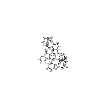 O=C1c2ccccc2-c2c1c1c3c4c(ncc3n3c5cnc6c(c5c(c2-c2ccccc2)c13)C1CC2CC(CC6C2)C1)C1CC2CC3CC4CC23C1